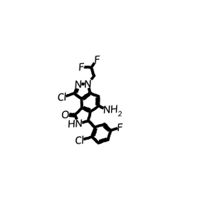 Nc1cc2c(c(Cl)nn2CC(F)F)c2c1C(c1cc(F)ccc1Cl)NC2=O